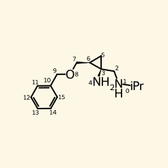 CC(C)NC[C@@]1(N)C[C@@H]1COCc1ccccc1